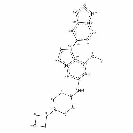 COc1nc(NC2CCN(C3COC3)CC2)nn2ccc(-c3ccn4nccc4c3)c12